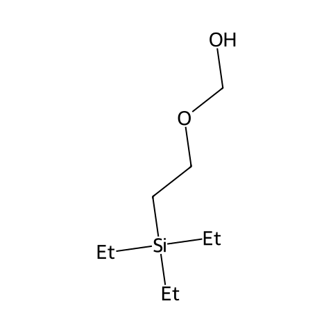 CC[Si](CC)(CC)CCOCO